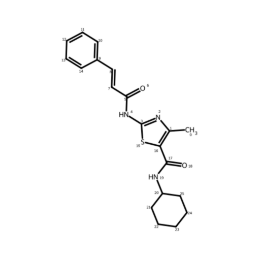 Cc1nc(NC(=O)C=Cc2ccccc2)sc1C(=O)NC1CCCCC1